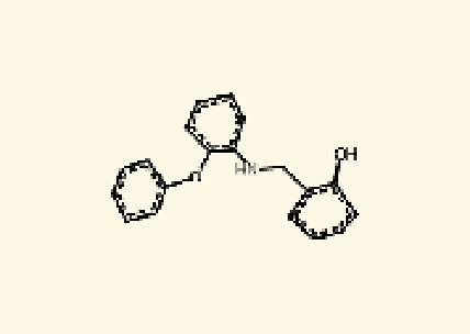 Oc1ccccc1CNc1ccccc1Oc1ccccc1